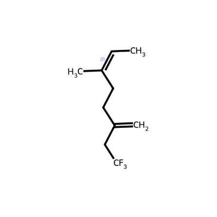 C=C(CC/C(C)=C\C)CC(F)(F)F